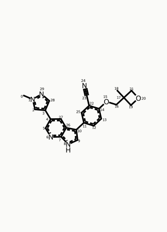 Cn1cc(-c2cnc3[nH]cc(-c4ccc(OCC5(C)COC5)c(C#N)c4)c3c2)cn1